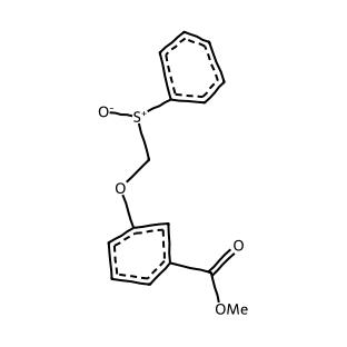 COC(=O)c1cccc(OC[S+]([O-])c2ccccc2)c1